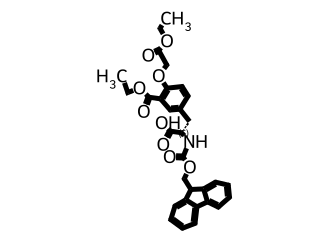 CCOC(=O)COc1ccc(C[C@H](NC(=O)OCC2c3ccccc3-c3ccccc32)C(=O)O)cc1C(=O)OCC